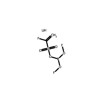 C=C(F)S(=O)(=O)OB(OF)OF.[LiH]